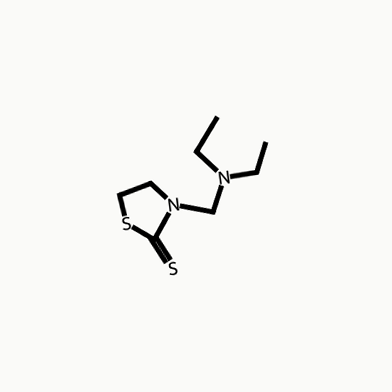 CCN(CC)CN1CCSC1=S